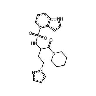 O=C(C(CCn1cccn1)NS(=O)(=O)c1cccc2[nH]ccc12)N1CCCCC1